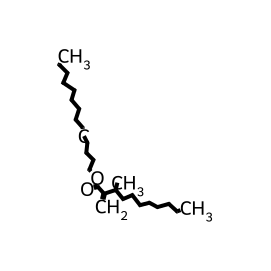 C=C(C(=O)OCCCCCCCCCCCCCC)C(C)CCCCCCCC